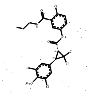 COc1c(Cl)cc([C@H]2[C@H](C(=O)Nc3ccc(Cl)c(C(=O)NCCF)c3)C2(Cl)Cl)cc1Cl